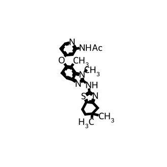 CC(=O)Nc1cc(Oc2ccc3nc(Nc4nc5c(s4)CCC(C)(C)C5)n(C)c3c2C)ccn1